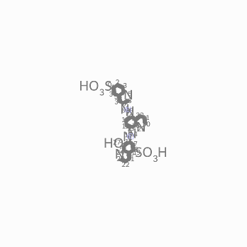 O=S(=O)(O)c1ccc2ncc(/N=N/c3ccc(/N=N/c4cc(S(=O)(=O)O)c5cccnc5c4O)c4ncccc34)cc2c1